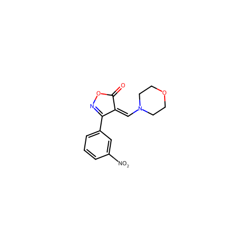 O=C1ON=C(c2cccc([N+](=O)[O-])c2)C1=CN1CCOCC1